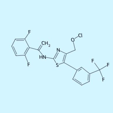 C=C(Nc1nc(COCl)c(-c2cccc(C(F)(F)F)c2)s1)c1c(F)cccc1F